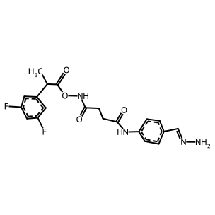 CC(C(=O)ONC(=O)CCC(=O)Nc1ccc(C=NN)cc1)c1cc(F)cc(F)c1